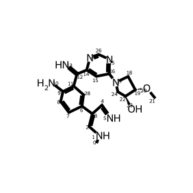 CN/C=C(\C=N)c1ccc(N)c(C(=N)c2cc(N3C[C@H](OC)[C@@H](O)C3)ncn2)c1